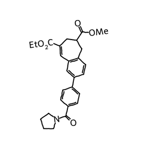 CCOC(=O)C1=Cc2cc(-c3ccc(C(=O)N4CCCC4)cc3)ccc2CC(C(=O)OC)C1